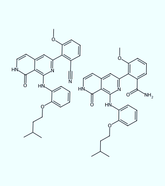 COc1cccc(C#N)c1-c1cc2cc[nH]c(=O)c2c(Nc2ccccc2OCCC(C)C)n1.COc1cccc(C(N)=O)c1-c1cc2cc[nH]c(=O)c2c(Nc2ccccc2OCCC(C)C)n1